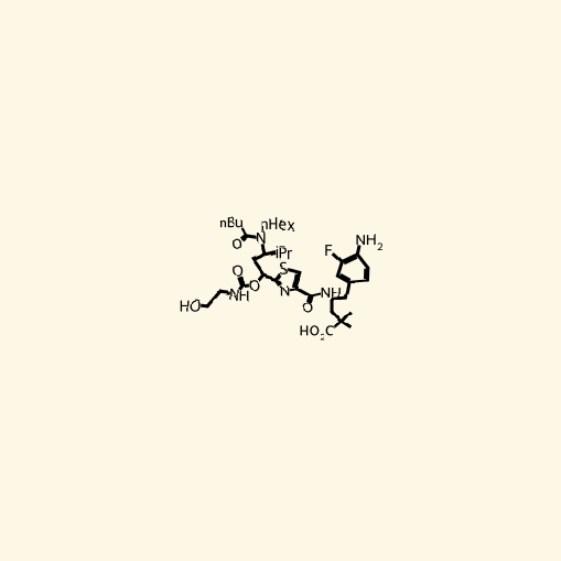 CCCCCCN(C(=O)CCCC)C(CC(OC(=O)NCCO)c1nc(C(=O)NC(Cc2ccc(N)c(F)c2)CC(C)(C)C(=O)O)cs1)C(C)C